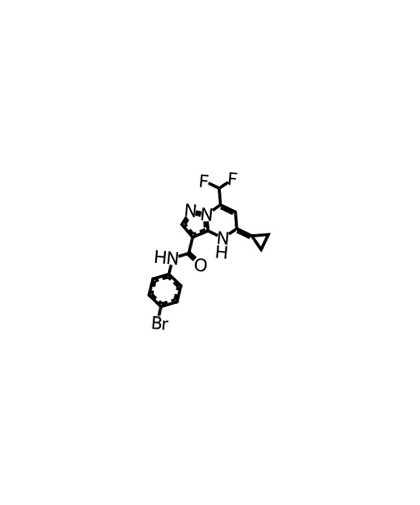 O=C(Nc1ccc(Br)cc1)c1cnn2c1NC(=C1CC1)C=C2C(F)F